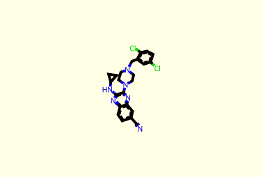 N#Cc1ccc2nc(NC3CC3)c(N3CCN(Cc4cc(Cl)ccc4Cl)CC3)nc2c1